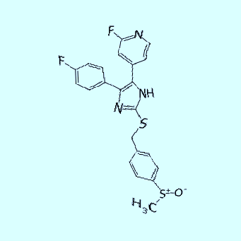 C[S+]([O-])c1ccc(CSc2nc(-c3ccc(F)cc3)c(-c3ccnc(F)c3)[nH]2)cc1